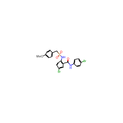 COc1ccc(CS(=O)(=O)Nc2ccc(Br)cc2C(=O)Nc2ccc(Br)cc2)cc1